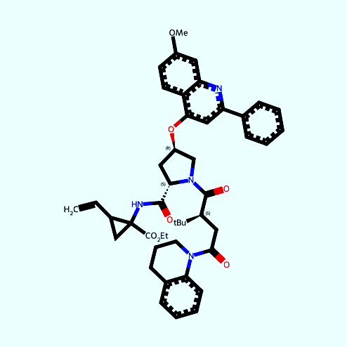 C=CC1CC1(NC(=O)[C@@H]1C[C@@H](Oc2cc(-c3ccccc3)nc3cc(OC)ccc23)CN1C(=O)[C@@H](CC(=O)N1CCCc2ccccc21)C(C)(C)C)C(=O)OCC